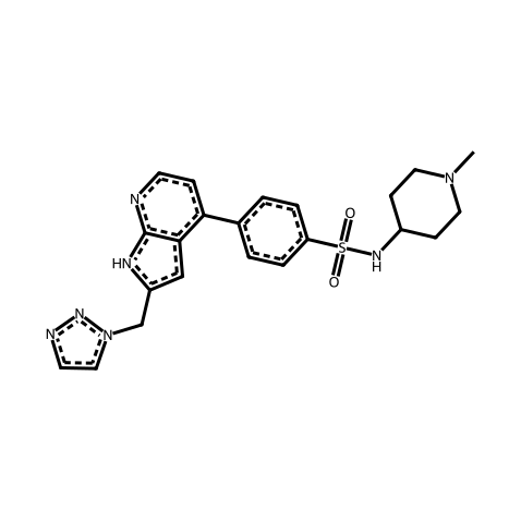 CN1CCC(NS(=O)(=O)c2ccc(-c3ccnc4[nH]c(Cn5ccnn5)cc34)cc2)CC1